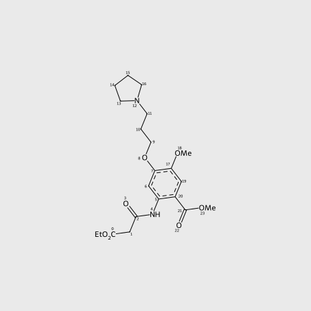 CCOC(=O)CC(=O)Nc1cc(OCCCN2CCCC2)c(OC)cc1C(=O)OC